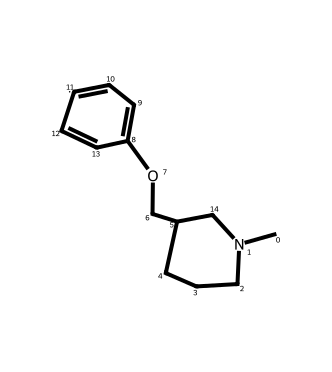 CN1CCCC(COc2cc[c]cc2)C1